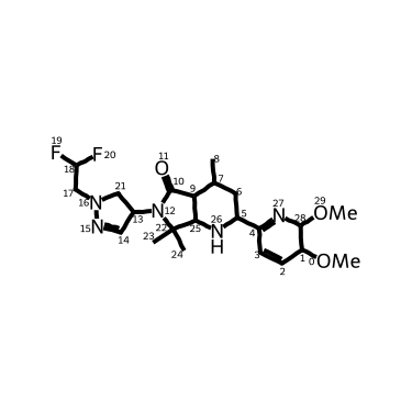 COC1C=CC(C2CC(C)C3C(=O)N(C4C=NN(CC(F)F)C4)C(C)(C)C3N2)=NC1OC